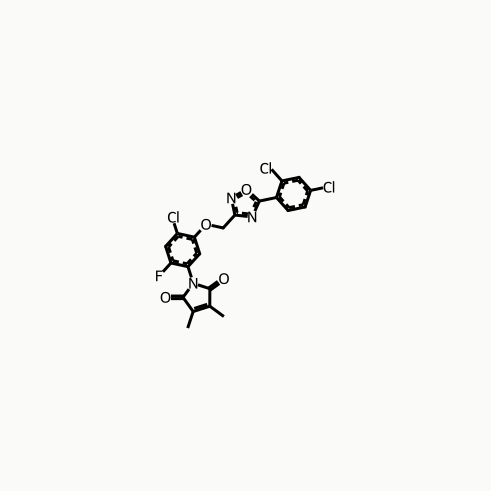 CC1=C(C)C(=O)N(c2cc(OCc3noc(-c4ccc(Cl)cc4Cl)n3)c(Cl)cc2F)C1=O